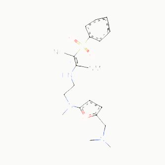 CN/C(NCCN(C)c1ccc(CN(C)C)o1)=C(/C#N)S(=O)(=O)c1ccccc1